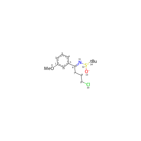 COc1cccc(/C(CCCCl)=N/[S+]([O-])C(C)(C)C)c1